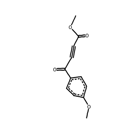 COC(=O)C#CC(=O)c1ccc(OC)cc1